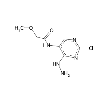 COCC(=O)Nc1cnc(Cl)nc1NN